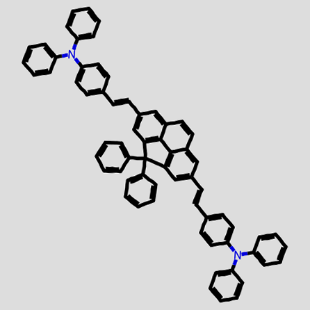 C(=C\c1cc2c3c(ccc4cc(/C=C/c5ccc(N(c6ccccc6)c6ccccc6)cc5)cc(c43)C2(c2ccccc2)c2ccccc2)c1)/c1ccc(N(c2ccccc2)c2ccccc2)cc1